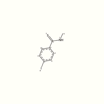 CNC(=S)c1ccc(I)cc1